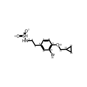 O=[SH](=O)NCCc1ccc(OCC2CC2)c(Br)c1